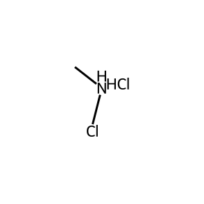 CNCl.Cl